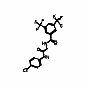 O=C(CNC(=O)c1cc(C(F)(F)F)cc(C(F)(F)F)c1)Nc1ccc(Cl)cc1